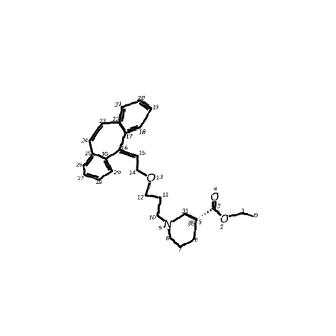 CCOC(=O)[C@@H]1CCCN(CCCOCC=C2c3ccccc3C=Cc3ccccc32)C1